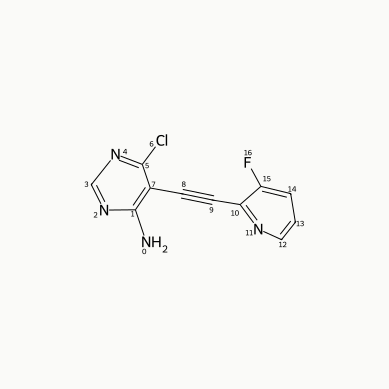 Nc1ncnc(Cl)c1C#Cc1ncccc1F